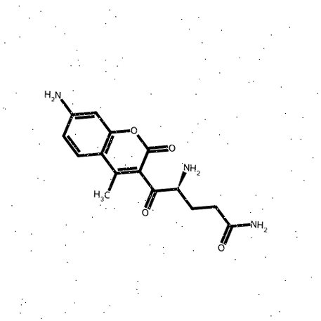 Cc1c(C(=O)[C@@H](N)CCC(N)=O)c(=O)oc2cc(N)ccc12